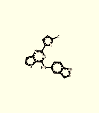 Clc1ccc(-c2nc(Nc3ccc4[nH]ncc4c3)c3sccc3n2)s1